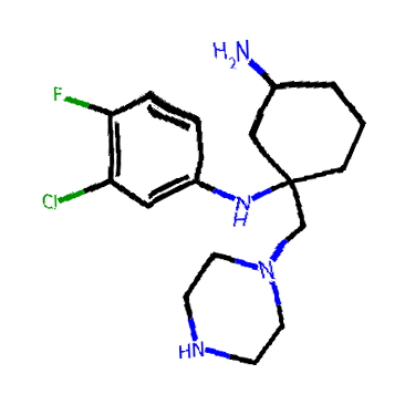 NC1CCCC(CN2CCNCC2)(Nc2ccc(F)c(Cl)c2)C1